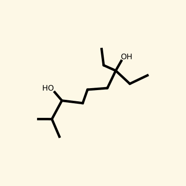 CCC(O)(CC)CCCC(O)C(C)C